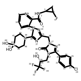 O=C(NC1CC1F)c1ncccc1-n1nc(Cn2nc(-c3ccc(Cl)cc3)n(C[C@@H](O)C(F)(F)F)c2=O)nc1N1CCS(O)(O)CC1